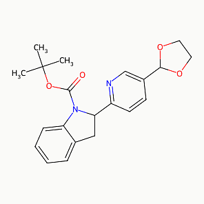 CC(C)(C)OC(=O)N1c2ccccc2CC1c1ccc(C2OCCO2)cn1